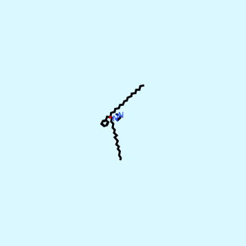 CCCCCCCCCCCCCCCCC(Cc1ccccc1)C(CCCCCCCCCCCCCCC)n1ccnc1